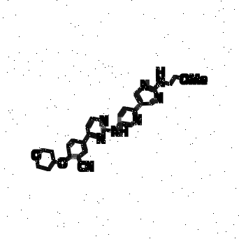 COCCNc1ncc(-c2ccc(Nc3nccc(-c4ccc(OC5CCOCC5)c(C#N)c4)n3)cn2)cn1